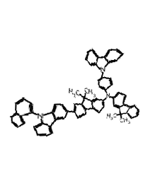 CC1(C)c2ccccc2-c2ccc(N(c3ccc(-n4c5ccccc5c5ccccc54)cc3)c3ccc4c(c3)C(C)(C)c3cc(-c5ccc6c(c5)c5ccccc5n6-c5cccc6ccccc56)ccc3-4)cc21